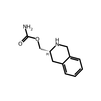 NC(=O)OC[C@H]1Cc2ccccc2CN1